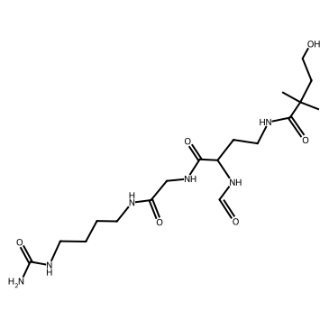 CC(C)(CCO)C(=O)NCCC(NC=O)C(=O)NCC(=O)NCCCCNC(N)=O